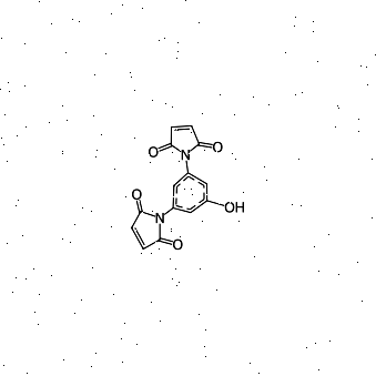 O=C1C=CC(=O)N1c1cc(O)cc(N2C(=O)C=CC2=O)c1